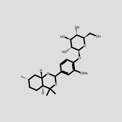 COc1cc(C2O[C@H]3C[C@@H](C)CC[C@@H]3C(C)(C)O2)ccc1O[C@@H]1O[C@H](CO)[C@@H](O)[C@H](O)[C@H]1O